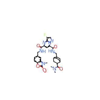 CN(C)C(=O)C1CC2CCC1CC2CNC(=O)c1cc(C(=O)NCc2ccc3oc(=O)n(C)c3c2)nc2c(F)cnn12